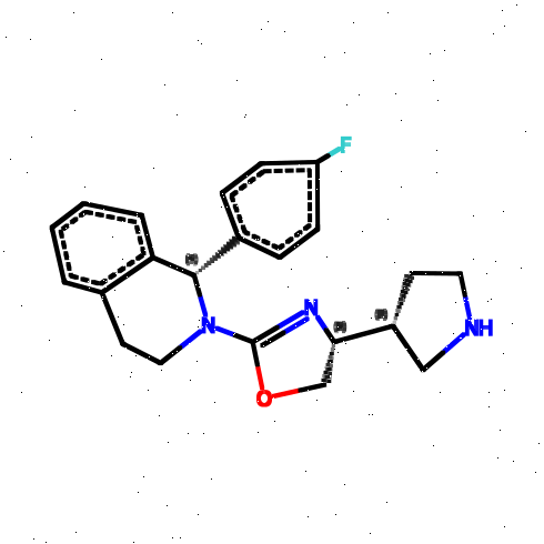 Fc1ccc([C@H]2c3ccccc3CCN2C2=N[C@H]([C@@H]3CCNC3)CO2)cc1